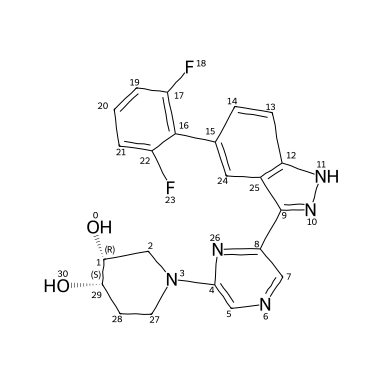 O[C@@H]1CN(c2cncc(-c3n[nH]c4ccc(-c5c(F)cccc5F)cc34)n2)CC[C@@H]1O